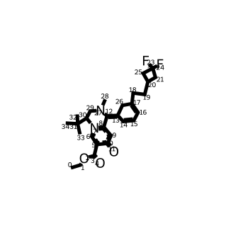 CCOC(=O)c1cn2c(cc1=O)/C(=C1\C=CC=C(CCC3CC(F)(F)C3)C1)N(C)CC2C(C)(C)C